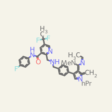 C=c1/c(=C(\N=C/C)NC)c(-c2ccc(CNCc3ncc(C(C)(F)F)cc3C(=O)Nc3ccc(F)cc3)cc2)cn1CCC